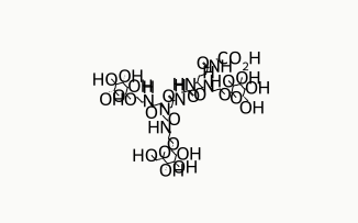 O=C(O)CNC(=O)CCC(NC(=O)CNC(=O)CN(CC(=O)NCCO[C@H]1O[C@H](CO)[C@@H](O)[C@H](O)[C@@H]1O)CC(=O)NCCO[C@H]1O[C@H](CO)[C@@H](O)[C@H](O)[C@@H]1O)C(=O)NCCO[C@H]1O[C@H](CO)[C@@H](O)[C@H](O)[C@@H]1O